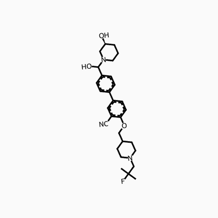 CC(C)(F)CN1CCC(COc2ccc(-c3ccc(C(O)N4CCC[C@H](O)C4)cc3)cc2C#N)CC1